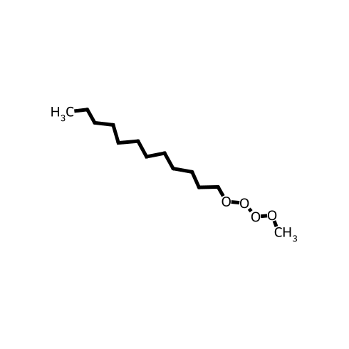 CCCCCCCCCCCCOOOOC